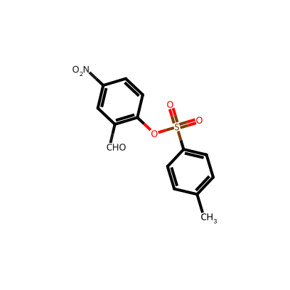 Cc1ccc(S(=O)(=O)Oc2ccc([N+](=O)[O-])cc2C=O)cc1